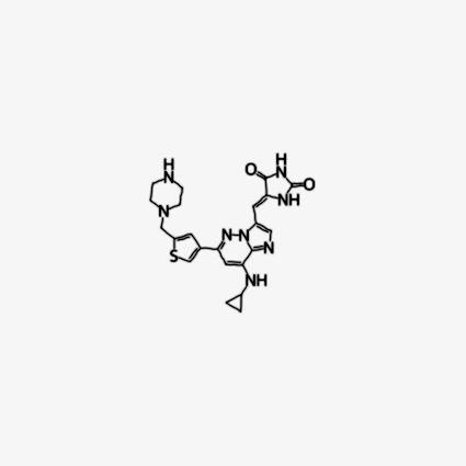 O=C1NC(=O)/C(=C/c2cnc3c(NC4CC4)cc(-c4csc(CN5CCNCC5)c4)nn23)N1